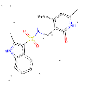 CSc1cc(C)[nH]c(=O)c1CNS(=O)(=O)c1c(C)[nH]c2ccccc12